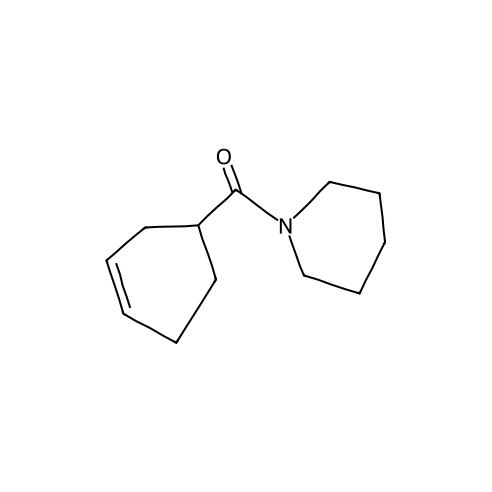 O=C(C1CC=CCC1)N1CCCCC1